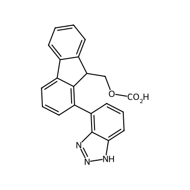 O=C(O)OCC1c2ccccc2-c2cccc(-c3cccc4[nH]nnc34)c21